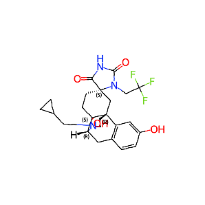 O=C1NC(=O)[C@@]2(CC[C@@]3(O)[C@H]4Cc5ccc(O)cc5[C@@]3(CCN4CC3CC3)C2)N1CC(F)(F)F